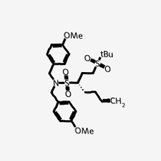 C=CCC[C@@H](CCS(=O)(=O)C(C)(C)C)S(=O)(=O)N(Cc1ccc(OC)cc1)Cc1ccc(OC)cc1